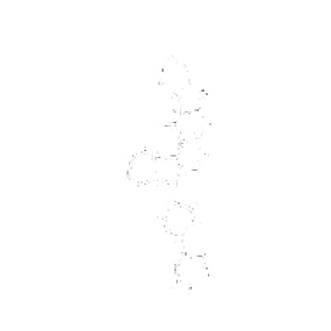 O=c1c2c(ccc3c2c2ccccc2n3-c2ccc(-c3ccccc3)cc2)oc2nc3ccccc3n12